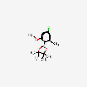 COc1cc(Cl)cc(C)c1B1OC(C)(C)C(C)(C)O1